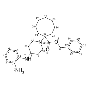 Nc1ccccc1NC1CCN(C2(C(=O)OCc3ccccc3)CCCCCCC2)CC1